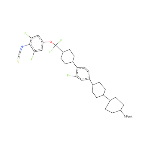 CCCCCC1CCC(C2CCC(c3ccc(C4CCC(C(F)(F)Oc5cc(F)c(N=C=S)c(F)c5)CC4)c(F)c3)CC2)CC1